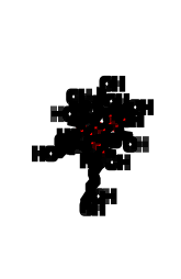 O=C(OCC(O)CO)C(CC(O)CO)C(CC(O)CO)C(CC(O)CO)C(CC(O)CO)C(CC(O)CO)C(CC(O)CO)C(CC(O)CO)C(CCCCCCCCC(O)CO)CC(O)CO